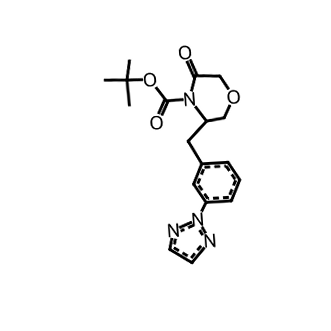 CC(C)(C)OC(=O)N1C(=O)COCC1Cc1cccc(-n2nccn2)c1